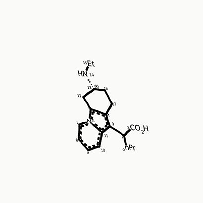 CCCC(C(=O)O)c1c2c(n3ccccc13)C[C@H](NCC)CC2